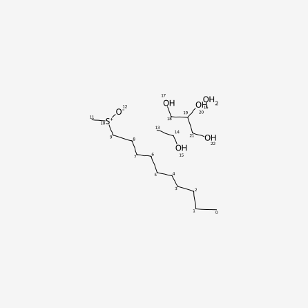 CCCCCCCCCC[S+](C)[O-].CCO.O.OCC(O)CO